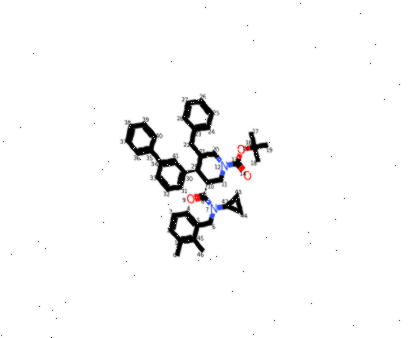 Cc1cccc(CN(C(=O)[C@H]2CN(C(=O)OC(C)(C)C)CC(Cc3ccccc3)[C@@H]2c2cccc(-c3ccccc3)c2)C2CC2)c1C